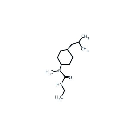 CCNC(=O)N(C)[C@H]1CC[C@@H](CC(C)C)CC1